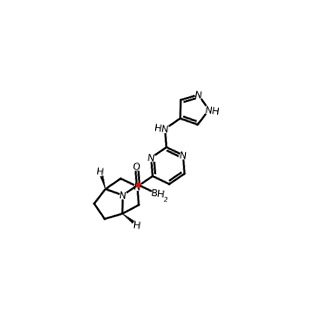 BC(=O)N1[C@@H]2CC[C@H]1CN(c1ccnc(Nc3cn[nH]c3)n1)C2